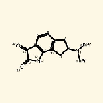 CCCN(CCC)C1Cc2ccc3c(c2C1)NC(=O)C3=O